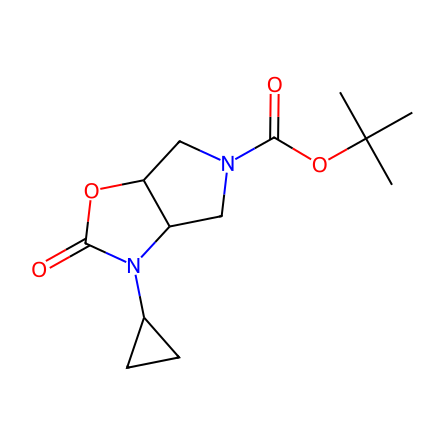 CC(C)(C)OC(=O)N1CC2OC(=O)N(C3CC3)C2C1